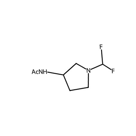 CC(=O)NC1CCN(C(F)F)C1